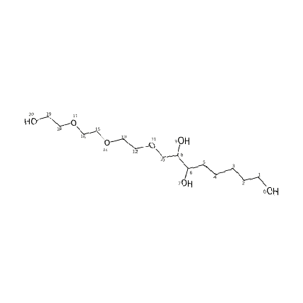 OCCCCCC(O)C(O)COCCOCCOCCO